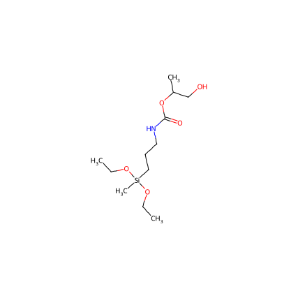 CCO[Si](C)(CCCNC(=O)OC(C)CO)OCC